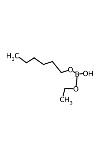 CCCCCCOB(O)OCC